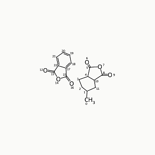 CC1CCC2C(=O)OC(=O)C2C1.O=C1OC(=O)c2ccccc21